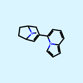 CN1C2C=C(c3cccc4cccn34)CC1CC2